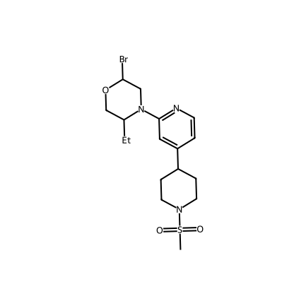 CCC1COC(Br)CN1c1cc(C2CCN(S(C)(=O)=O)CC2)ccn1